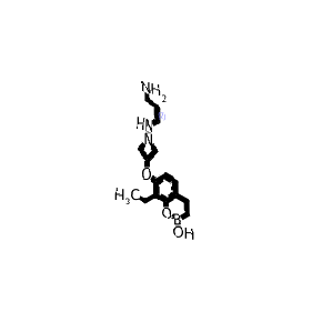 CCc1c(OC2CN(N/C=C\CN)C2)ccc2c1OB(O)CC2